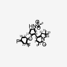 Cc1cc(-c2cc(NS(C)(=O)=O)ccc2Oc2ccc(F)cc2F)c2n(c1=O)CC(C)(C)C2